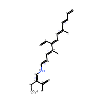 C=C/C=C/C(C)=C/C=C(C=C)/C(C)=C/C=C/N/C=C(/CC(=O)O)C(=C)C